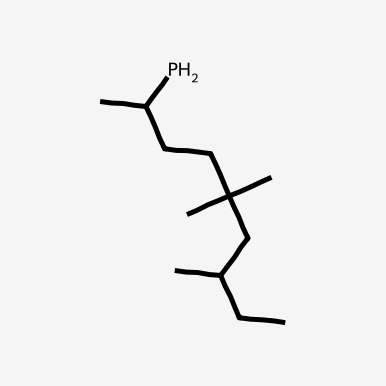 CCC(C)CC(C)(C)CCC(C)P